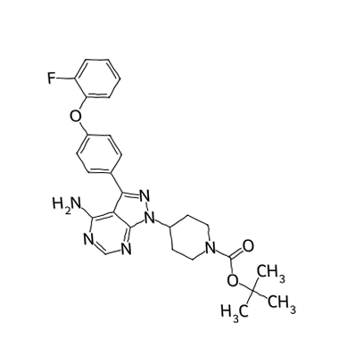 CC(C)(C)OC(=O)N1CCC(n2nc(-c3ccc(Oc4ccccc4F)cc3)c3c(N)ncnc32)CC1